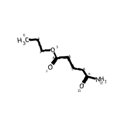 CCCOC(=O)CCCC(N)=O